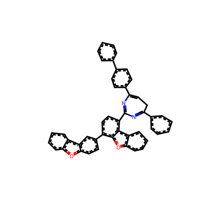 C1=C(c2ccc(-c3ccccc3)cc2)N=C(c2ccc(-c3ccc4oc5ccccc5c4c3)c3oc4ccccc4c23)N=C(c2ccccc2)C1